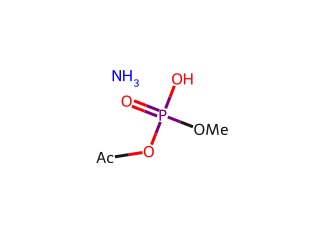 COP(=O)(O)OC(C)=O.N